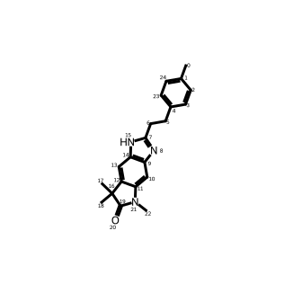 Cc1ccc(CCc2nc3cc4c(cc3[nH]2)C(C)(C)C(=O)N4C)cc1